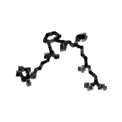 CCOP(=O)(OCC)OCCCCNC(=O)c1ccccc1NC/C=C(\C)CC/C=C(\C)CCC=C(C)C